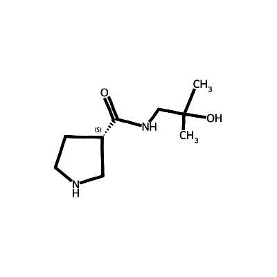 CC(C)(O)CNC(=O)[C@H]1CCNC1